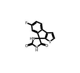 O=C1NC(=O)C2(N1)c1cc(F)ccc1-c1ccsc12